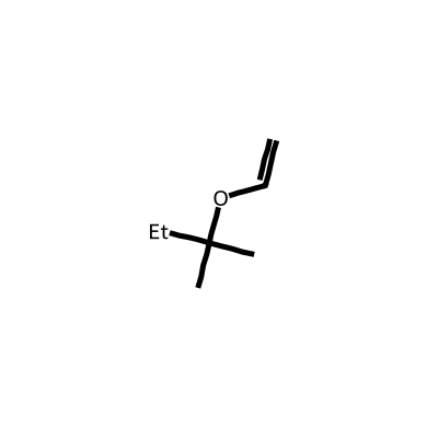 C=COC(C)(C)CC